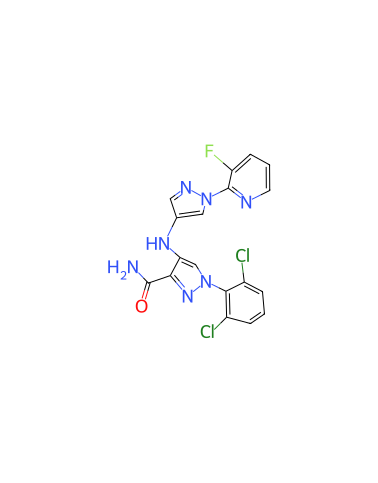 NC(=O)c1nn(-c2c(Cl)cccc2Cl)cc1Nc1cnn(-c2ncccc2F)c1